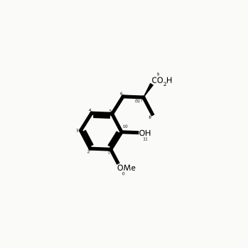 COc1cccc(C[C@H](C)C(=O)O)c1O